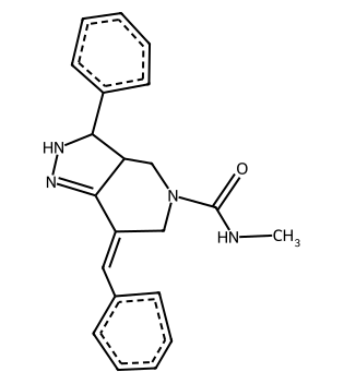 CNC(=O)N1CC(=Cc2ccccc2)C2=NNC(c3ccccc3)C2C1